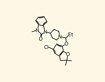 CCC(Oc1cc(Cl)cc2c1OC(C)(C)C2)N1CCC(n2c(=O)n(C)c3ccccc32)CC1